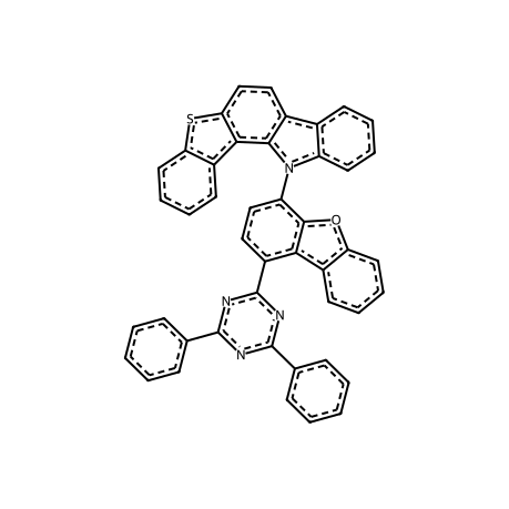 c1ccc(-c2nc(-c3ccccc3)nc(-c3ccc(-n4c5ccccc5c5ccc6sc7ccccc7c6c54)c4oc5ccccc5c34)n2)cc1